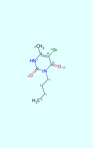 CCCCn1c(=O)[nH]c(C)c(Br)c1=O